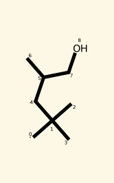 [CH2]C(C)(C)CC(C)CO